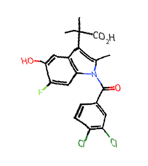 Cc1c(C(C)(C)C(=O)O)c2cc(O)c(F)cc2n1C(=O)c1ccc(Cl)c(Cl)c1